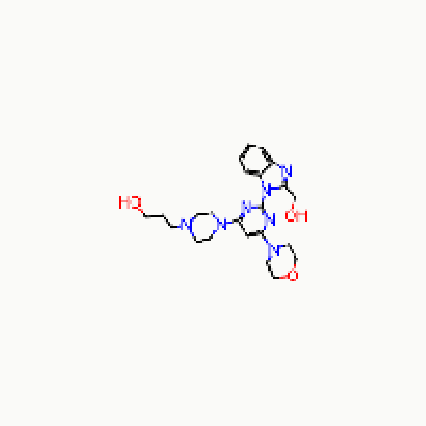 OCCCN1CCN(c2cc(N3CCOCC3)nc(-n3c(CO)nc4ccccc43)n2)CC1